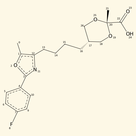 Cc1oc(-c2ccc(F)cc2)nc1CCCC[C@H]1CO[C@@](C)(C(=O)O)OC1